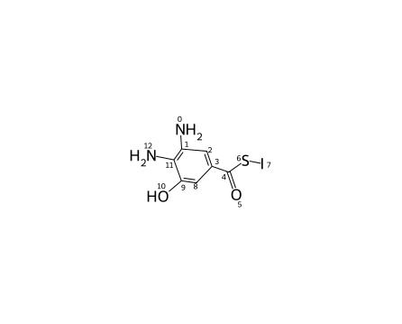 Nc1cc(C(=O)SI)cc(O)c1N